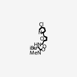 CC[C@@H](C)[C@H](NC(=O)c1ccc(-c2ccc(Cl)cn2)o1)C(=O)NC